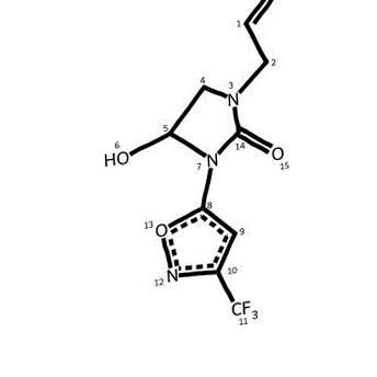 C=CCN1CC(O)N(c2cc(C(F)(F)F)no2)C1=O